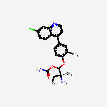 CC(C)C[C@](C)(N)C(OC(N)=O)Oc1ccc(-c2ccnc3cc(Cl)ccc23)cc1C(F)(F)F